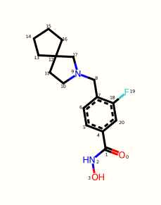 O=C(NO)c1ccc(CN2CCC3(CCCC3)C2)c(F)c1